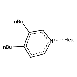 CCCCCC[n+]1ccc(CCCC)c(CCCC)c1